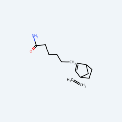 C1=CC2CCC1C2.C=C.CCCCCC(N)=O